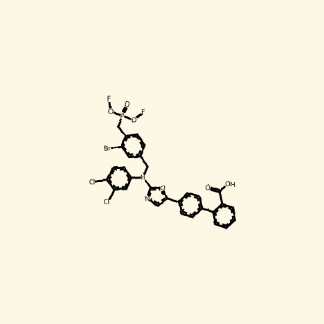 O=C(O)c1ccccc1-c1ccc(-c2cnc(N(Cc3ccc(CP(=O)(OF)OF)c(Br)c3)c3ccc(Cl)c(Cl)c3)o2)cc1